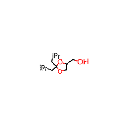 CC(C)CC1(CC(C)C)OCC(CO)O1